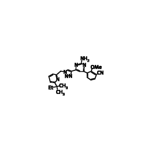 CCC(C)(C)c1cccc(Cn2cc(-c3cc(-c4cccc(C#N)c4OC)nc(N)n3)nn2)n1